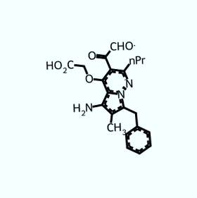 CCCc1nn2c(Cc3ccccc3)c(C)c(N)c2c(OCC(=O)O)c1C(=O)[C]=O